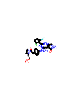 O=C1NCc2nc(-c3c(F)cccc3Cl)nc(Nc3ccc(CC(=O)N4CC[C@H]4CO)cc3)c21